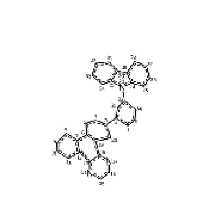 c1cc(-c2ccc3c4ccccc4c4nccnc4c3c2)cc(-n2c3ccccc3c3ccccc32)c1